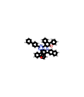 c1ccc(-c2ccc(-c3nc(-c4cccc5ccccc45)nc(-c4c(-n5c6cc7ccccc7cc6c6c7ccccc7ccc65)c5oc6ccccc6c5c5ccccc45)n3)cc2)cc1